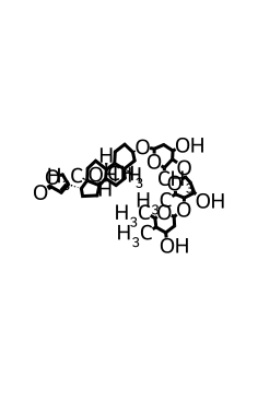 CC1OC(OC2C(O)CC(OC3C(O)CC(O[C@H]4CC[C@@]5(C)[C@H](CC[C@@H]6[C@@H]5CC[C@]5(C)[C@@H](C7=CC(=O)OC7)CC[C@]65O)C4)OC3C)OC2C)CC(O)C1C